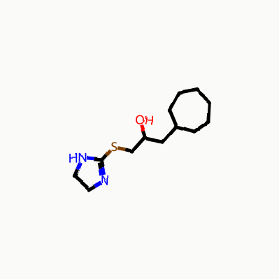 OC(CSC1=NCCN1)CC1CCCCCC1